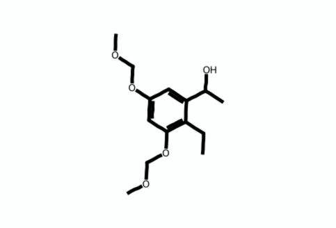 CCc1c(OCOC)cc(OCOC)cc1C(C)O